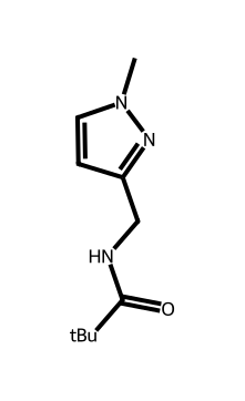 Cn1ccc(CNC(=O)C(C)(C)C)n1